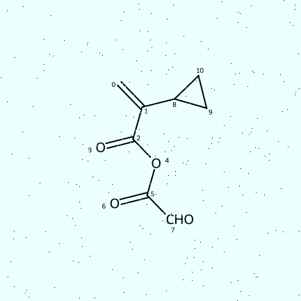 C=C(C(=O)OC(=O)C=O)C1CC1